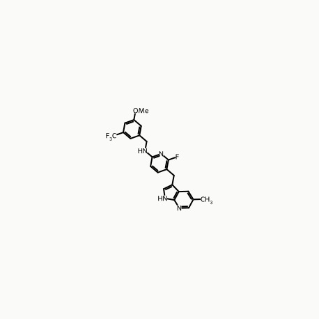 COc1cc(CNc2ccc(Cc3c[nH]c4ncc(C)cc34)c(F)n2)cc(C(F)(F)F)c1